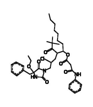 CCCCCCCC(OC(=O)CC(=O)Nc1ccccc1)C(CC(Cl)CN1C(=O)NC(Cc2ccccc2)(OCC)C1=O)C(=O)C(C)(C)C